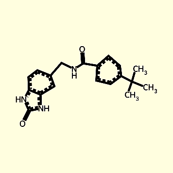 CC(C)(C)c1ccc(C(=O)NCc2ccc3[nH]c(=O)[nH]c3c2)cc1